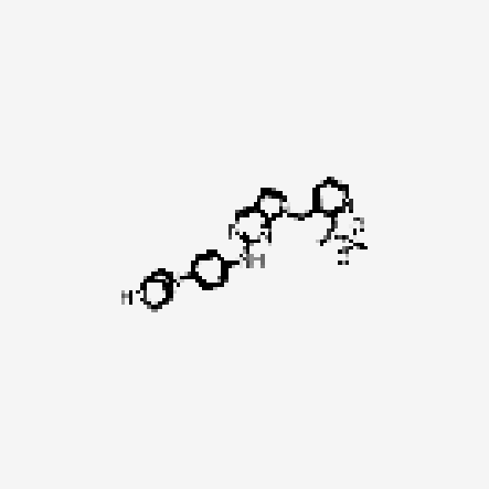 CN(c1ncccc1Cn1ccc2cnc(Nc3ccc(N4CC5CC4CN5)cc3)nc21)S(C)(=O)=O